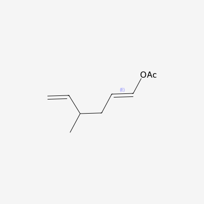 C=CC(C)C/C=C/OC(C)=O